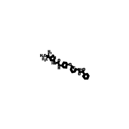 CC(C)(C)c1cc(NC(=O)Nc2ccc(Oc3cccc(NC(=O)C(=O)c4ccccc4)c3)cc2)no1